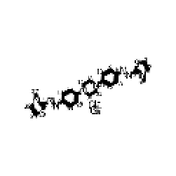 C[n+]1ccsc1/N=N/c1ccc(N2CCN(c3ccc(/N=N/c4scc[n+]4C)cc3)CC2)cc1.[Cl-].[Cl-]